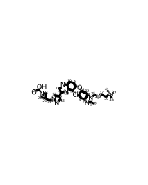 Cc1nc2ccc(Oc3ccc4ncc(-c5cnn(CC6CN(C(=O)O)C6)c5)nc4c3Cl)cc2n1COCC[Si](C)(C)C